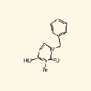 O=c1c(Br)c(O)ccn1Cc1ccccc1